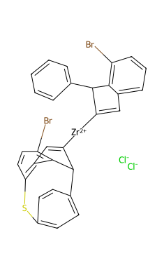 Brc1cccc2c1C(c1ccccc1)[C]([Zr+2][C]1=Cc3c4ccc(Br)c3C1c1ccc(cc1)S4)=C2.[Cl-].[Cl-]